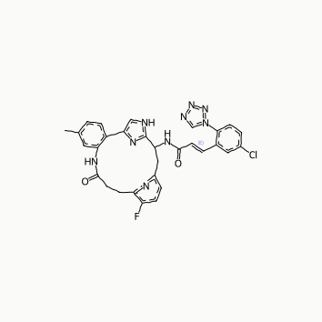 Cc1ccc2c(c1)NC(=O)CCc1nc(ccc1F)CC(NC(=O)/C=C/c1cc(Cl)ccc1-n1cnnn1)c1nc-2c[nH]1